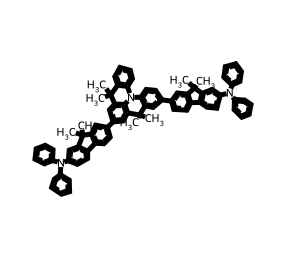 CC1(C)c2cc(-c3ccc4c(c3)C(C)(C)c3cc(-c5ccc6c(c5)C(C)(C)c5cc(N(c7ccccc7)c7ccccc7)ccc5-6)cc5c3N4c3ccccc3C5(C)C)ccc2-c2ccc(N(c3ccccc3)c3ccccc3)cc21